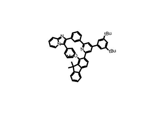 COc1c(-c2cc(-c3cc(C(C)(C)C)cc(C(C)(C)C)c3)cc(-c3cccc(-c4nc5ccccn5c4-c4ccccc4)c3)n2)ccc2c1C(C)(C)c1ccccc1-2